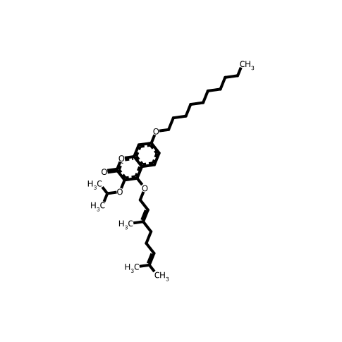 CCCCCCCCCCOc1ccc2c(OC/C=C(\C)CCC=C(C)C)c(OC(C)C)c(=O)oc2c1